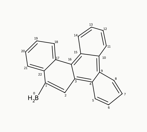 Bc1cc2c3ccccc3c3ccccc3c2c2ccccc12